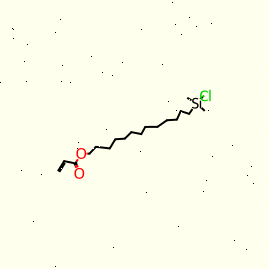 C=CC(=O)OCCCCCCCCCCCCC[Si](C)(C)Cl